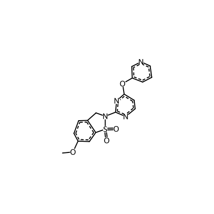 COc1ccc2c(c1)S(=O)(=O)N(c1nccc(Oc3cccnc3)n1)C2